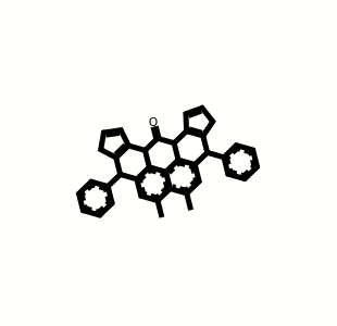 Cc1cc2c3c4c5c(cc(C)c14)C(c1ccccc1)C1=C(C=CC1)C5C(=O)C3C1=C(CC=C1)C2c1ccccc1